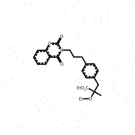 CCOC(=O)C(C)(Cc1ccc(CCCn2c(=O)oc3ccccc3c2=O)cc1)OCC